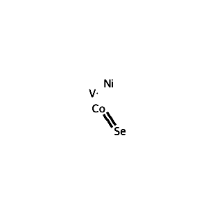 [Co]=[Se].[Ni].[V]